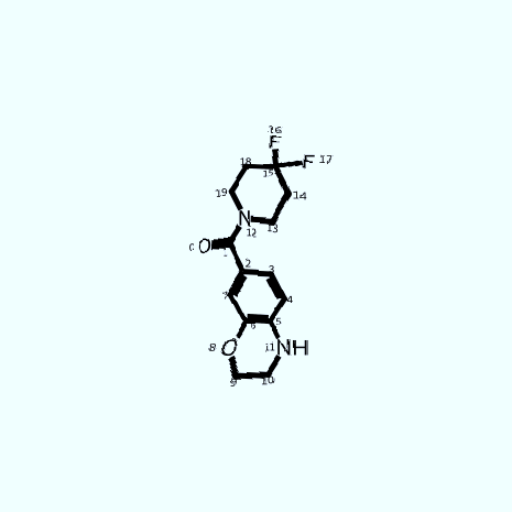 O=C(c1ccc2c(c1)OCCN2)N1CCC(F)(F)CC1